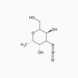 C[C@@H]1OC(CO)[C@@H](O)C(N=[N+]=[N-])[C@@H]1O